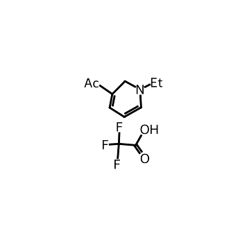 CCN1C=CC=C(C(C)=O)C1.O=C(O)C(F)(F)F